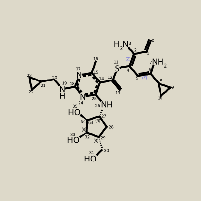 C=C/C(N)=C(\C=C(/N)C1CC1)SC(=C)c1c(C)nc(NCC2CC2)nc1N[C@@H]1C[C@H](CO)[C@@H](O)[C@H]1O